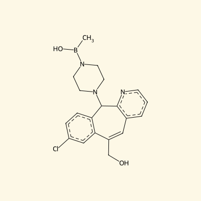 CB(O)N1CCN(C2c3ccc(Cl)cc3C(CO)=Cc3cccnc32)CC1